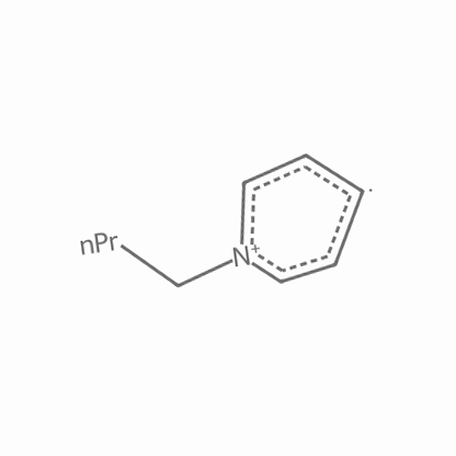 CCCC[n+]1cc[c]cc1